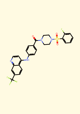 O=C(c1ccc(Nc2ccnc3cc(C(F)(F)F)ccc23)cc1)N1CCN(S(=O)(=O)c2ccccc2F)CC1